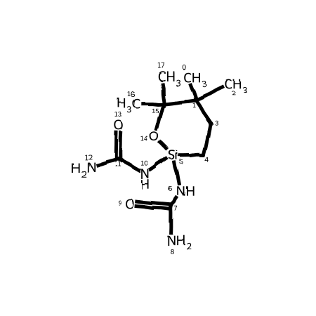 CC1(C)CC[Si](NC(N)=O)(NC(N)=O)OC1(C)C